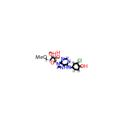 COC[C@H]1O[C@@H](n2cnc3c(Nc4ccc(O)c(Cl)c4)ncnc32)C(O)C1O